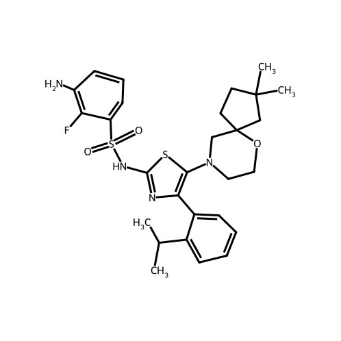 CC(C)c1ccccc1-c1nc(NS(=O)(=O)c2cccc(N)c2F)sc1N1CCOC2(CCC(C)(C)C2)C1